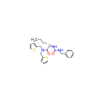 CCCC[C@H](NC(=O)NCc1ccccc1)C(=O)N(Cc1cccs1)Cc1cccs1